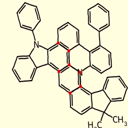 CC1(C)c2ccccc2-c2c(N(c3ccc4c(c3)c3ccccc3n4-c3ccccc3)c3cccc(-c4ccccc4)c3-c3ccccc3-c3ccccc3)cccc21